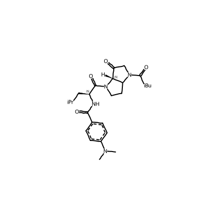 CCC(C)C(=O)N1CC(=O)[C@@H]2C1CCN2C(=O)[C@H](CC(C)C)NC(=O)c1ccc(N(C)C)cc1